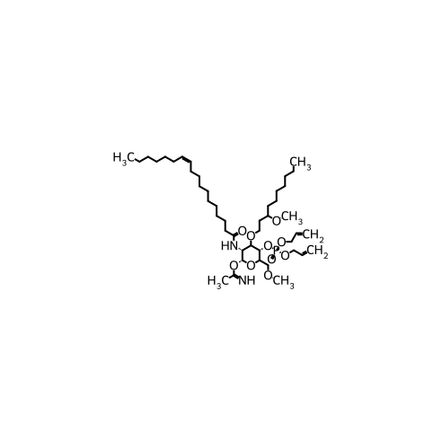 C=CCOP(=O)(OCC=C)O[C@@H]1C(COC)O[C@H](OC(C)=N)[C@H](NC(=O)CCCCCCCCC/C=C\CCCCCC)C1OCCC(CCCCCCC)OC